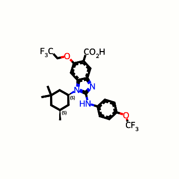 C[C@@H]1C[C@H](n2c(Nc3ccc(OC(F)(F)F)cc3)nc3cc(C(=O)O)c(OCC(F)(F)F)cc32)CC(C)(C)C1